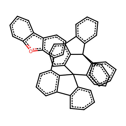 c1ccc(C23c4ccccc4-c4cccc(c42)C2(c4ccccc4-c4cccc(-c5cccc6c5oc5ccccc56)c42)c2ccccc23)cc1